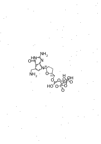 NCc1cn([C@H]2CC[C@@H](COP(=O)(O)OP(=O)(O)OP(=O)(O)O)O2)c2nc(N)[nH]c(=O)c12